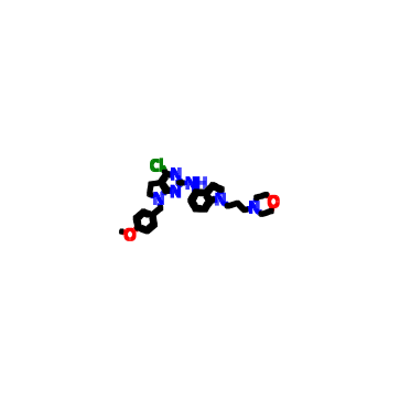 COc1ccc(CN2CCc3c(Cl)nc(Nc4cccc5c4ccn5CCCN4CCOCC4)nc32)cc1